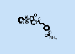 NC(=O)Oc1ccc(C[CH]C(=O)N2CCC3C2C(=O)CN3S(=O)(=O)c2ccccn2)cc1